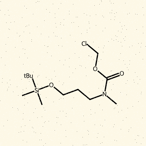 CN(CCCO[Si](C)(C)C(C)(C)C)C(=O)OCCl